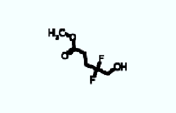 COC(=O)CCC(F)(F)CO